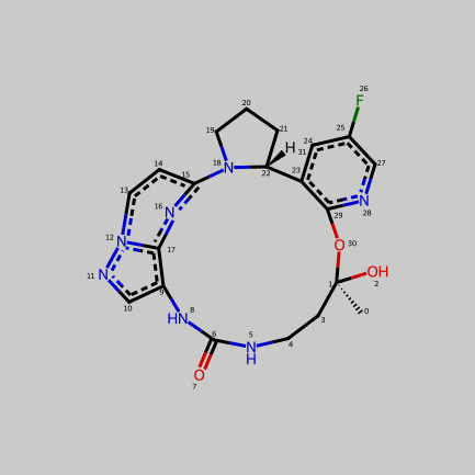 C[C@]1(O)CCNC(=O)Nc2cnn3ccc(nc23)N2CCC[C@@H]2c2cc(F)cnc2O1